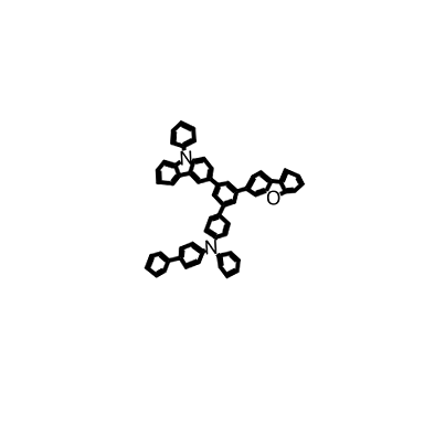 c1ccc(-c2ccc(N(c3ccccc3)c3ccc(-c4cc(-c5ccc6c(c5)oc5ccccc56)cc(-c5ccc6c(c5)c5ccccc5n6-c5ccccc5)c4)cc3)cc2)cc1